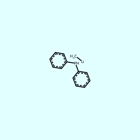 [Li][CH3].c1ccc(Pc2ccccc2)cc1